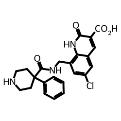 O=C(O)c1cc2cc(Cl)cc(CNC(=O)C3(c4ccccc4)CCNCC3)c2[nH]c1=O